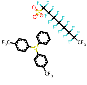 FC(F)(F)c1ccc([S+](c2ccccc2)c2ccc(C(F)(F)F)cc2)cc1.O=S(=O)([O-])C(F)(F)C(F)(F)C(F)(F)C(F)(F)C(F)(F)C(F)(F)C(F)(F)C(F)(F)F